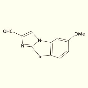 COc1ccc2sc3nc(C=O)cn3c2c1